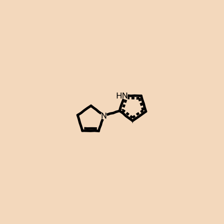 [c]1cc[nH]c1N1C=CCC1